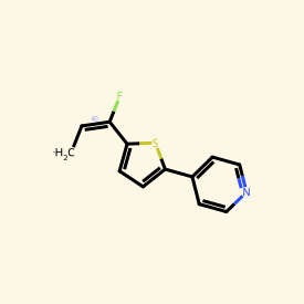 [CH2]/C=C(/F)c1ccc(-c2ccncc2)s1